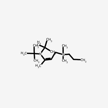 CCC[Si](C)(C)C/C=C(/C)N(C(C)(C)C)C(C)(C)C